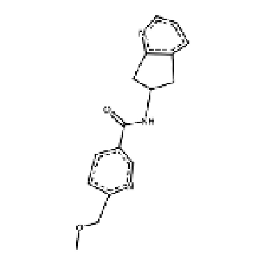 COCc1ccc(C(=O)NC2Cc3cccnc3C2)cn1